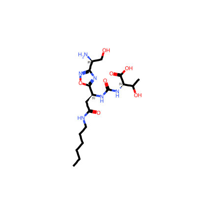 CCCCCCNC(=O)C[C@H](NC(=O)N[C@H](C(=O)O)C(C)O)c1nc([C@@H](N)CO)no1